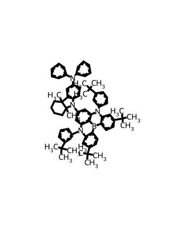 CC(C)(C)c1cccc(N2c3cc(C(C)(C)C)ccc3B3c4ccc(C(C)(C)C)cc4N(c4cccc(C(C)(C)C)c4)c4cc(N5c6ccc(N(c7ccccc7)c7ccccc7)cc6C6(C)CCCCC56C)cc2c43)c1